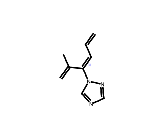 C=C/C=C(\C(=C)C)n1cncn1